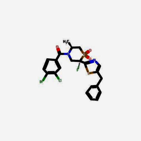 C[C@H]1CS(=O)(=O)[C@@](F)(c2ncc(Cc3ccccc3)s2)CN1C(=O)c1ccc(Br)c(Cl)c1